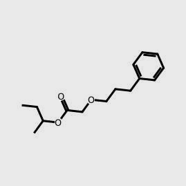 CCC(C)OC(=O)COCCCc1ccccc1